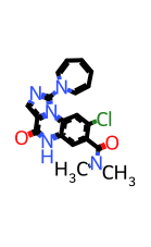 CN(C)C(=O)c1cc2[nH]c(=O)c3cnc(N4C=CC=CC=C4)n3c2cc1Cl